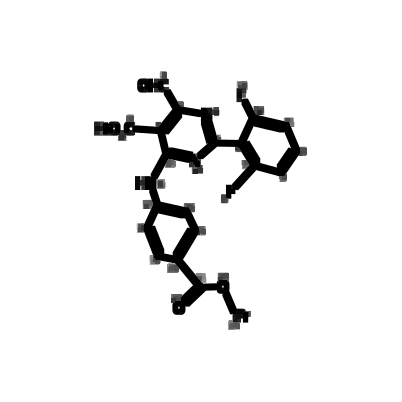 CCOC(=O)c1c(C=O)nc(-c2c(F)cccc2F)nc1Nc1ccc(C(=O)OC(C)C)cc1